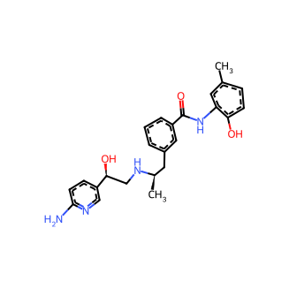 Cc1ccc(O)c(NC(=O)c2cccc(C[C@@H](C)NC[C@H](O)c3ccc(N)nc3)c2)c1